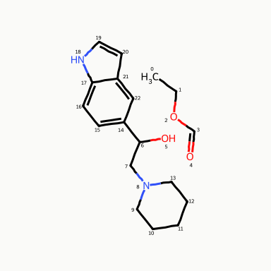 CCOC=O.OC(CN1CCCCC1)c1ccc2[nH]ccc2c1